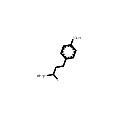 CCCCCCCC(F)CCc1ccc(S(=O)(=O)O)cc1